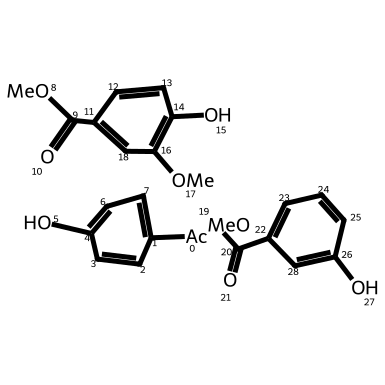 CC(=O)c1ccc(O)cc1.COC(=O)c1ccc(O)c(OC)c1.COC(=O)c1cccc(O)c1